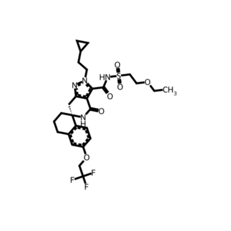 CCOCCS(=O)(=O)NC(=O)c1c2c(nn1CCC1CC1)C[C@]1(CCCc3cc(OCC(F)(F)F)ccc31)NC2=O